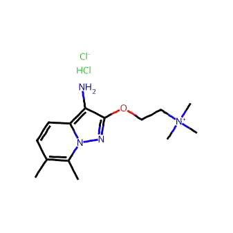 Cc1ccc2c(N)c(OCC[N+](C)(C)C)nn2c1C.Cl.[Cl-]